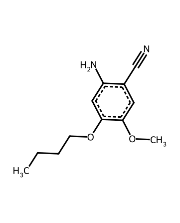 CCCCOc1cc(N)c(C#N)cc1OC